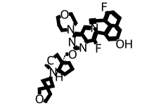 C#Cc1c(F)ccc2cc(O)cc(-c3ncc4c(N5CCCOCC5)nc(OC[C@]56CCC[C@H]5N(C5CC7(CCOC7)C5)CCC6)nc4c3F)c12